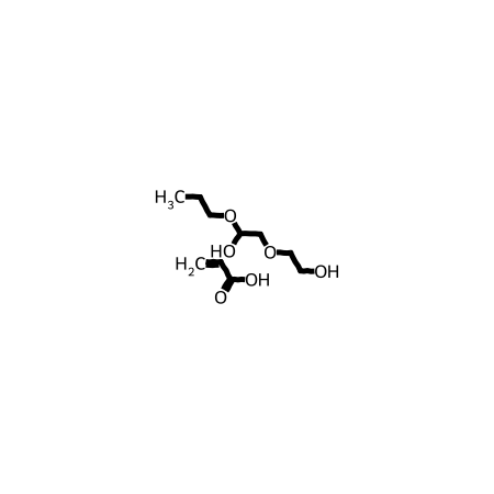 C=CC(=O)O.CCCOC(O)COCCO